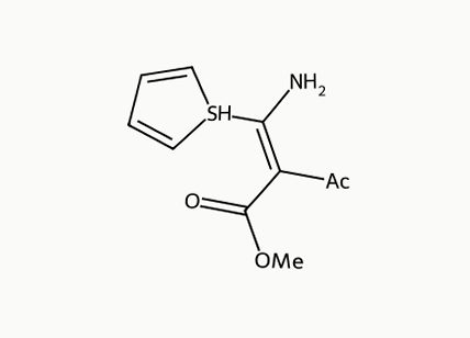 COC(=O)C(C(C)=O)=C(N)[SH]1C=CC=C1